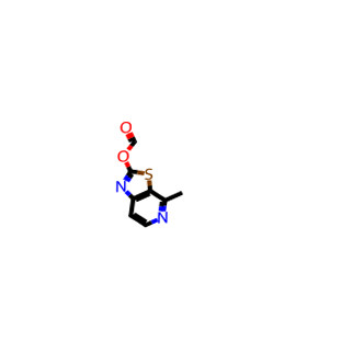 Cc1nccc2nc(OC=O)sc12